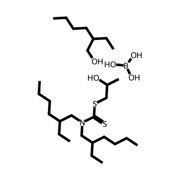 CCCCC(CC)CN(CC(CC)CCCC)C(=S)SCC(C)O.CCCCC(CC)CO.OB(O)O